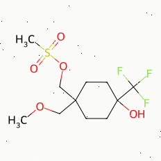 COCC1(COS(C)(=O)=O)CCC(O)(C(F)(F)F)CC1